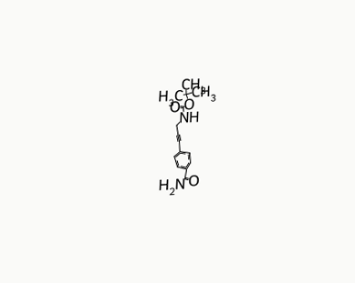 CC(C)(C)OC(=O)NCC#Cc1ccc(C(N)=O)cc1